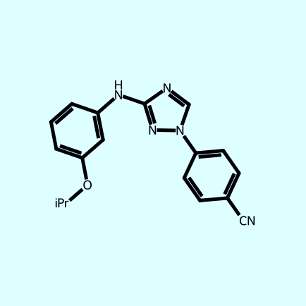 CC(C)Oc1cccc(Nc2ncn(-c3ccc(C#N)cc3)n2)c1